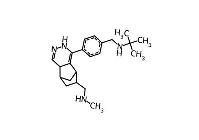 CNCC1CC2CC1C1=C(c3ccc(CNC(C)(C)C)cc3)NN=CC12